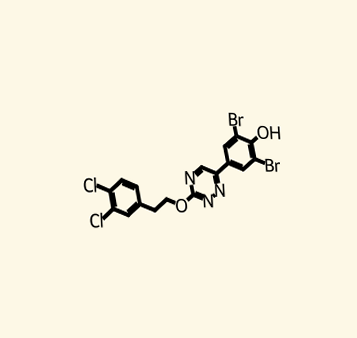 Oc1c(Br)cc(-c2cnc(OCCc3ccc(Cl)c(Cl)c3)nn2)cc1Br